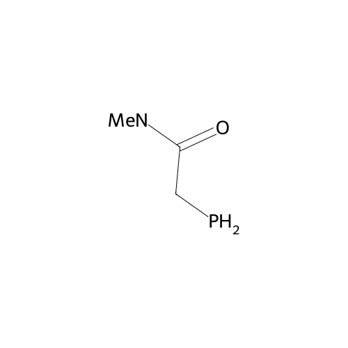 CNC(=O)CP